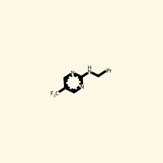 CC(C)CNc1ncc(C(F)(F)F)cn1